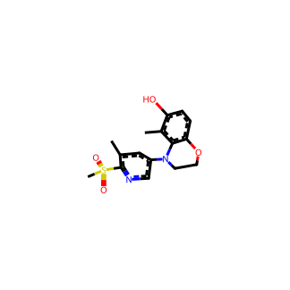 Cc1cc(N2CCOc3ccc(O)c(C)c32)cnc1S(C)(=O)=O